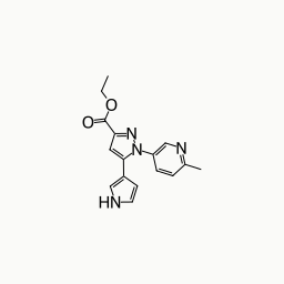 CCOC(=O)c1cc(-c2cc[nH]c2)n(-c2ccc(C)nc2)n1